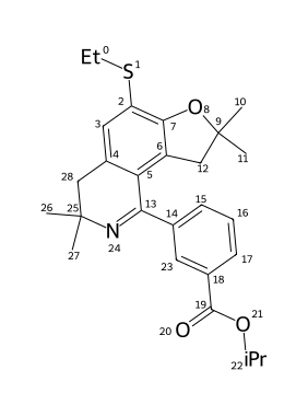 CCSc1cc2c(c3c1OC(C)(C)C3)C(c1cccc(C(=O)OC(C)C)c1)=NC(C)(C)C2